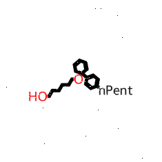 CCCCCc1ccc(C2(OCCCCCCO)C=CC=CC2)cc1